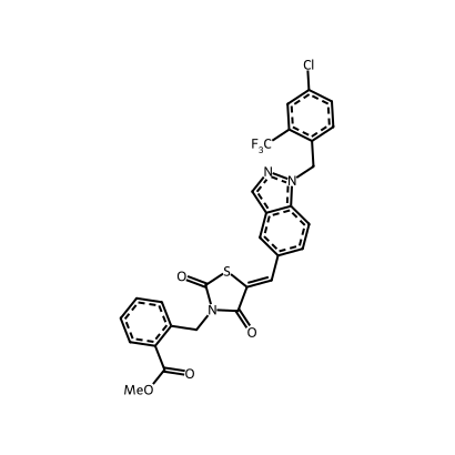 COC(=O)c1ccccc1CN1C(=O)SC(=Cc2ccc3c(cnn3Cc3ccc(Cl)cc3C(F)(F)F)c2)C1=O